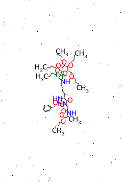 CCCCOC[C@H]1O[C@@](OCCCC)(C(F)(F)CNCCCC[C@H](NC(=O)OCc2ccccc2)C(=O)NCC(=O)N[C@@H](C)C(=O)OCCCC)[C@H](OCCCC)[C@@H](OCCCC)[C@H]1OCCCC